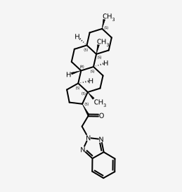 C[C@H]1CC[C@@]2(C)[C@@H](CC[C@@H]3[C@@H]2CC[C@]2(C)[C@@H](C(=O)Cn4nc5ccccc5n4)CC[C@@H]32)C1